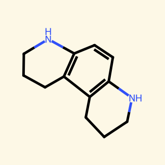 c1cc2c(c3c1NCCC3)CCCN2